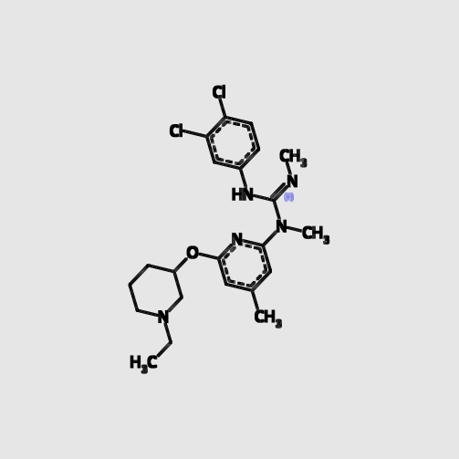 CCN1CCCC(Oc2cc(C)cc(N(C)/C(=N/C)Nc3ccc(Cl)c(Cl)c3)n2)C1